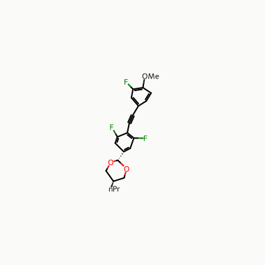 CCC[C@H]1CO[C@H](c2cc(F)c(C#Cc3ccc(OC)c(F)c3)c(F)c2)OC1